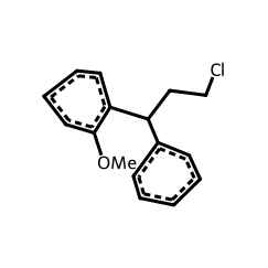 COc1ccccc1C(CCCl)c1ccccc1